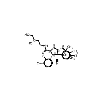 CC(C)C(C)(C)C[C@H]1N[C@H](C(=O)NCC[C@H](O)CO)[C@@H](c2cccc(Cl)c2F)[C@]1(C#N)c1ccc(Cl)cc1F